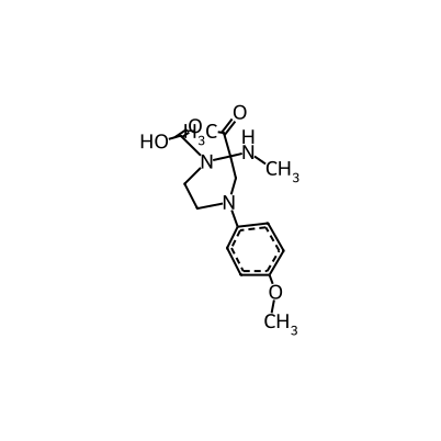 CNC1(C(C)=O)CN(c2ccc(OC)cc2)CCN1C(=O)O